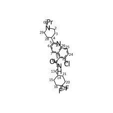 CC(C)N1CCC(c2ccc3c(C(=O)NCC4CCC(F)(F)CC4)c(Cl)ccc3n2)CC1